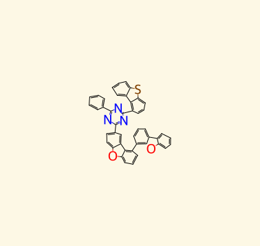 c1ccc(-c2nc(-c3ccc4oc5cccc(-c6cccc7c6oc6ccccc67)c5c4c3)nc(-c3cccc4sc5ccccc5c34)n2)cc1